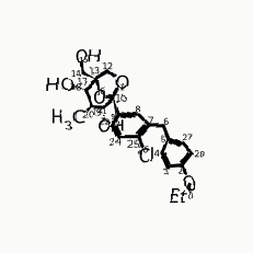 CCOc1ccc(Cc2cc([C@]34OC[C@](CO)(O3)[C@@H](O)[C@H](C)[C@H]4O)ccc2Cl)cc1